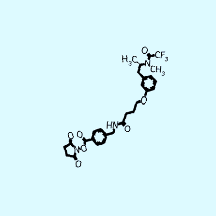 C[C@@H](Cc1cccc(OCCCC(=O)NCc2ccc(C(=O)ON3C(=O)CCC3=O)cc2)c1)N(C)C(=O)C(F)(F)F